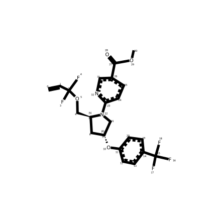 C=CC(F)(F)OC[C@@H]1C[C@@H](Oc2ccc(C(F)(F)F)cc2)CN1c1ccc(C(=O)OC)cn1